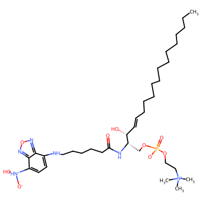 CCCCCCCCCCCCC/C=C/[C@@H](O)[C@H](COP(=O)([O-])OCC[N+](C)(C)C)NC(=O)CCCCCNc1ccc([NH+]([O-])O)c2nonc12